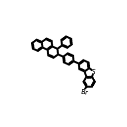 Brc1ccc2sc3ccc(-c4ccc(C5C=Cc6c(ccc7ccccc67)C5c5ccccc5)cc4)cc3c2c1